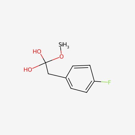 OC(O)(Cc1ccc(F)cc1)O[SiH3]